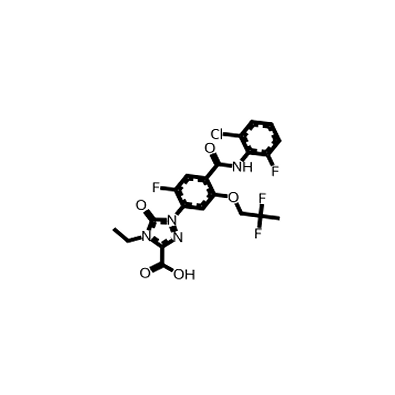 CCn1c(C(=O)O)nn(-c2cc(OCC(C)(F)F)c(C(=O)Nc3c(F)cccc3Cl)cc2F)c1=O